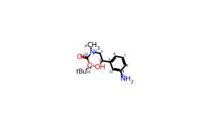 CN(CC(O)c1cccc(N)c1)C(=O)OC(C)(C)C